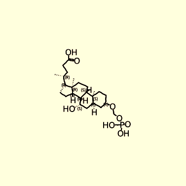 C[C@H](CCC(=O)O)[C@H]1CC[C@H]2[C@@H]3[C@@H](O)C[C@@H]4C[C@H](OCOP(=O)(O)O)CC[C@]4(C)[C@H]3CC[C@]12C